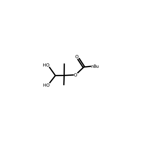 CCCCC(=O)OC(C)(C)C(O)O